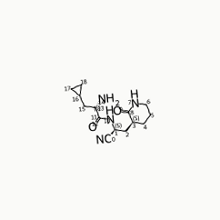 N#C[C@H](C[C@@H]1CCCNC1=O)NC(=O)[C@@H](N)CC1CC1